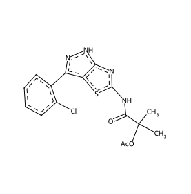 CC(=O)OC(C)(C)C(=O)Nc1nc2[nH]nc(-c3ccccc3Cl)c2s1